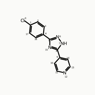 Clc1ccc(-c2n[nH]c(-c3ccncc3)n2)cc1